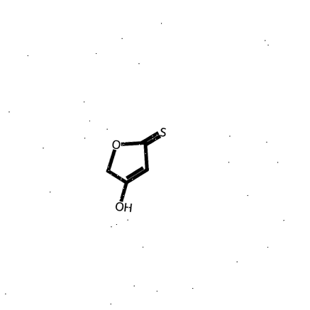 OC1=CC(=S)OC1